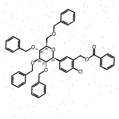 O=C(OCc1cc([C@@H]2O[C@H](COCc3ccccc3)[C@@H](OCc3ccccc3)[C@H](OCc3ccccc3)[C@H]2OCc2ccccc2)ccc1Cl)c1ccccc1